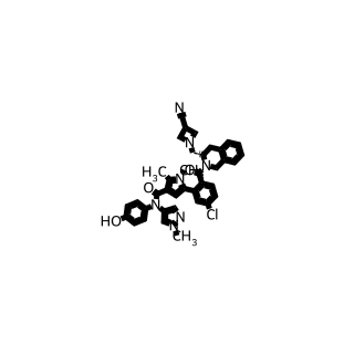 Cc1c(C(=O)N(c2ccc(O)cc2)c2cnn(C)c2)cc(-c2cc(Cl)ccc2C(=O)N2Cc3ccccc3C[C@H]2CN2CC(C#N)C2)n1C